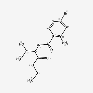 CCOC(=O)C(NC(=O)c1ccc(Br)cc1N)C(C)O